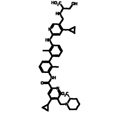 Cc1c(NC(=O)c2cc(C3CC3)c(CN3CCCC[C@H]3C(=O)O)cn2)cccc1-c1cccc(Nc2cc(C3CC3)c(CNC(CO)C(=O)O)cn2)c1C